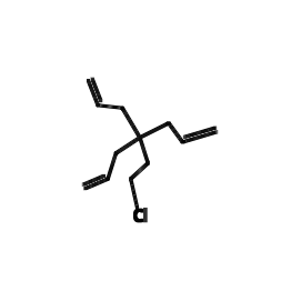 C=CCC(CC=C)(CC=C)CCCl